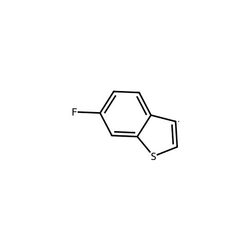 Fc1ccc2[c]csc2c1